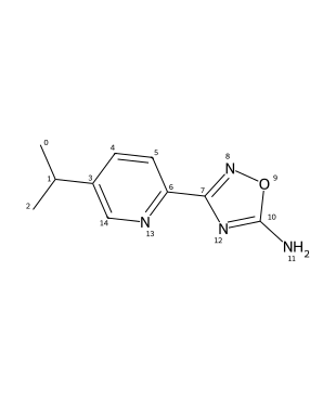 CC(C)c1ccc(-c2noc(N)n2)nc1